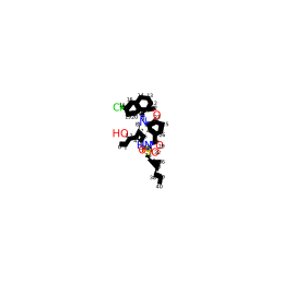 C=C[C@H](O)[C@@H]1CC[C@H]1CN1C[C@@]2(CCCc3cc(Cl)ccc32)COc2ccc(C(=O)NS(=O)(=O)C[C@H]3C[C@H]3/C=C/C)cc21